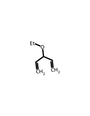 C=CC(C=C)OCC